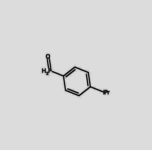 CC(C)c1ccc([PH2]=O)cc1